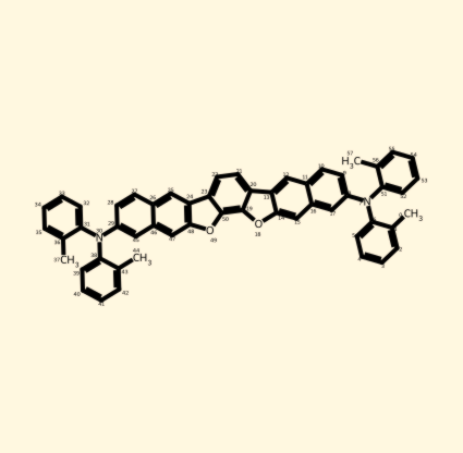 Cc1ccccc1N(c1ccc2cc3c(cc2c1)oc1c3ccc2c3cc4ccc(N(c5ccccc5C)c5ccccc5C)cc4cc3oc21)c1ccccc1C